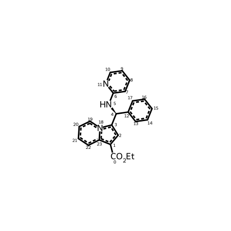 CCOC(=O)c1cc([C@@H](Nc2ccccn2)c2ccccc2)n2ccccc12